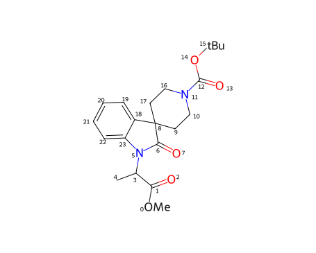 COC(=O)C(C)N1C(=O)C2(CCN(C(=O)OC(C)(C)C)CC2)c2ccccc21